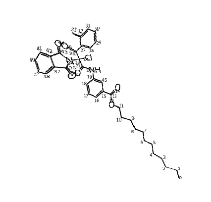 CCCCCCCCCCCCOC(=O)c1cccc(NC(=O)C(Cl)(C(=O)c2ccccc2C)N2C(=O)c3ccccc3C2=O)c1